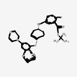 CC(C)(C)OC(=O)c1cc(N[C@H]2CC[C@@H](Oc3cc(N4CCOCC4)cc4nccnc34)CC2)ccc1F